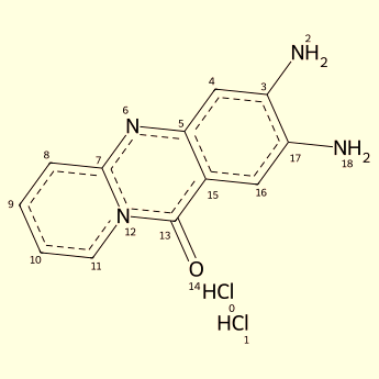 Cl.Cl.Nc1cc2nc3ccccn3c(=O)c2cc1N